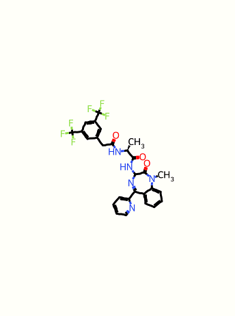 C[C@H](NC(=O)Cc1cc(C(F)(F)F)cc(C(F)(F)F)c1)C(=O)NC1N=C(c2ccccn2)c2ccccc2N(C)C1=O